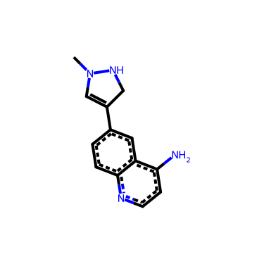 CN1C=C(c2ccc3nccc(N)c3c2)CN1